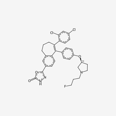 O=c1[nH]nc(-c2ccc3c(c2)CCCC(c2ccc(Cl)cc2Cl)=C3c2ccc(O[C@H]3CCN(CCCF)C3)cc2)o1